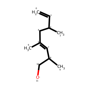 C=CC(C)CC(C)=CC(C)C[O]